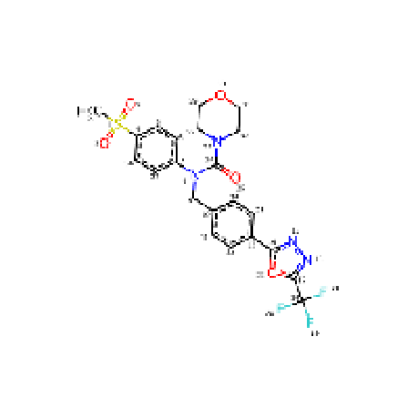 CS(=O)(=O)c1ccc(N(Cc2ccc(-c3nnc(C(F)(F)F)o3)cc2)C(=O)N2CCOCC2)cc1